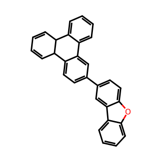 C1=CC2c3ccccc3-c3cc(-c4ccc5oc6ccccc6c5c4)ccc3C2C=C1